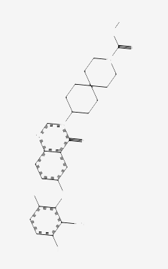 CC(C)(C)OC(=O)N1CCC2(CCC(n3cnc4ccc(Oc5c(F)ccc(F)c5C#N)cc4c3=O)CC2)CC1